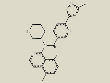 Cc1nnc(-c2ccc(C(=O)N(c3nccc4c(C)ccc(C)c34)[C@@H]3CCCNC3)cn2)s1